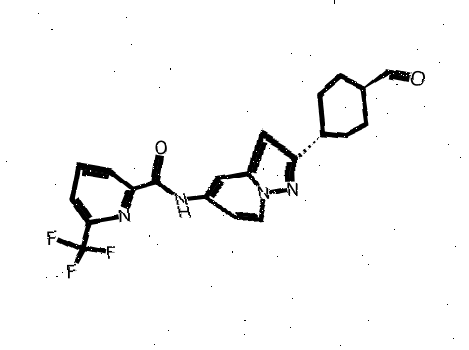 O=C[C@H]1CC[C@H](c2cc3cc(NC(=O)c4cccc(C(F)(F)F)n4)ccn3n2)CC1